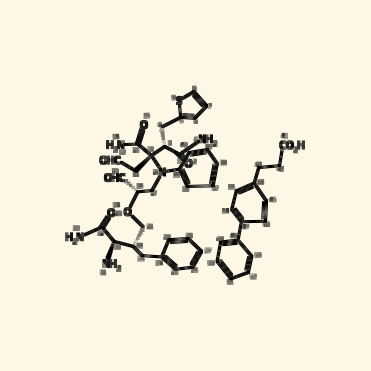 NC(=O)[C@@H](Cc1cccs1)[C@@](CC=O)(C(N)=O)N(C[C@@H](C=O)OC[C@H](Cc1ccccc1)[C@@H](N)C(N)=O)c1ccccc1.O=C(O)CCc1ccc(-c2ccccc2)cc1